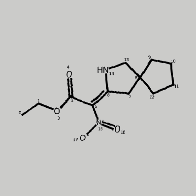 CCOC(=O)C(=C1CC2(CCCC2)CN1)[N+](=O)[O-]